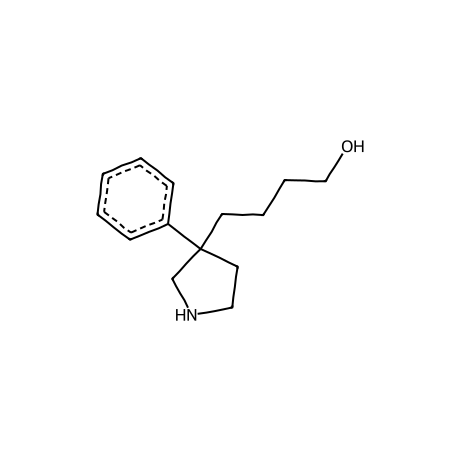 OCCCCC1(c2ccccc2)CCNC1